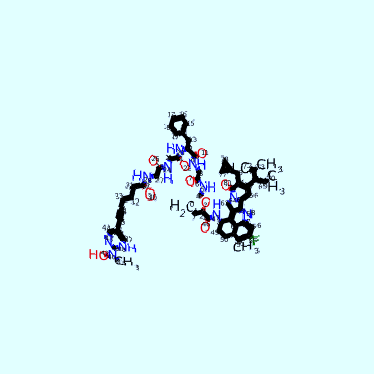 C=CC(OCNC(=O)CNC(=O)C(Cc1ccccc1)NC(=O)CNC(=O)CNC(=O)CCCC#CC1=CNC(N(C)O)N=C1)C(=O)NC1CCc2c(C)c(F)cc3nc4c(c1c23)Cn1c-4cc(C(CC)C(=C)C)c(CC2CC2)c1=O